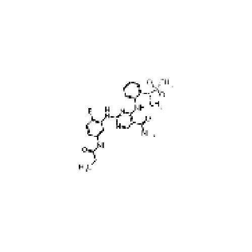 CCC(=O)Nc1ccc(F)c(Nc2ncc(C(N)=O)c(Nc3ccccc3N(C)S(C)(=O)=O)n2)c1